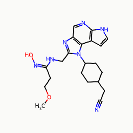 COCC/C(=N/O)NCc1nc2cnc3[nH]ccc3c2n1C1CCC(CC#N)CC1